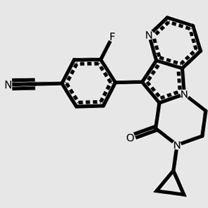 N#Cc1ccc(-c2c3n(c4cccnc24)CCN(C2CC2)C3=O)c(F)c1